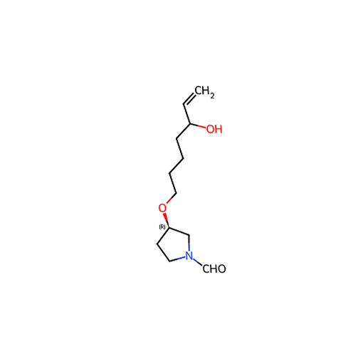 C=CC(O)CCCCO[C@@H]1CCN(C=O)C1